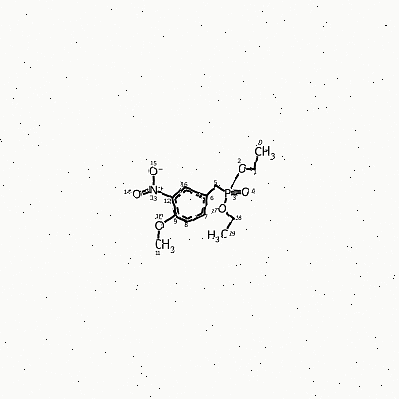 CCOP(=O)(Cc1ccc(OC)c([N+](=O)[O-])c1)OCC